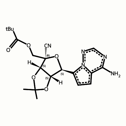 CC1(C)O[C@H]2[C@H](c3ccc4c(N)ncnn34)O[C@](C#N)(COC(=O)C(C)(C)C)[C@H]2O1